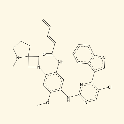 C=C/C=C/C(=O)Nc1cc(Nc2ncc(Cl)c(-c3cnn4ccccc34)n2)c(OC)cc1N1CC2(CCCN2C)C1